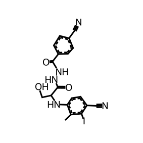 Cc1c(NC(CO)C(=O)NNC(=O)c2ccc(C#N)cc2)ccc(C#N)c1I